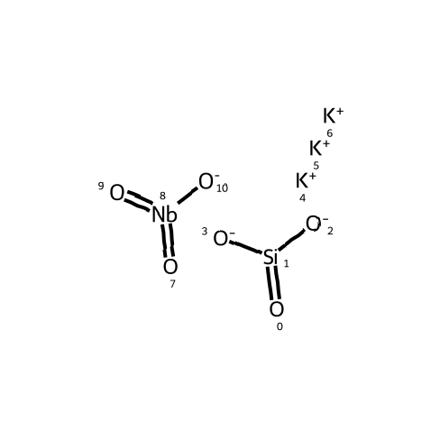 O=[Si]([O-])[O-].[K+].[K+].[K+].[O]=[Nb](=[O])[O-]